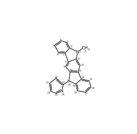 Cn1c2ccccc2c2cc3c(cc21)c1ccccc1n3-c1ccccn1